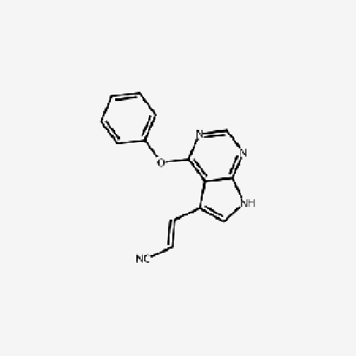 N#CC=Cc1c[nH]c2ncnc(Oc3ccccc3)c12